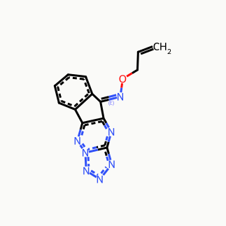 C=CCO/N=C1\c2ccccc2-c2nn3nnnc3nc21